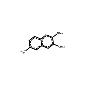 CNc1nc2ccc(C)cc2cc1OC